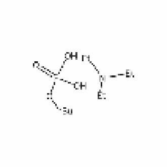 CCCCOP(=O)(O)O.CCN(CC)CC